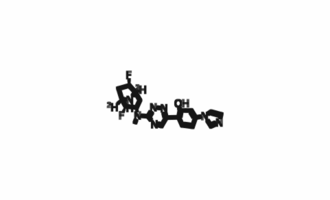 [2H][C@]12C[C@@H](N(C)c3ncc(-c4ccc(-n5ccnc5)cc4O)nn3)[C@H](F)[C@]([2H])(C[C@H]1F)N2